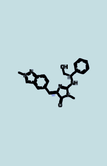 CN1C(=O)/C(=C/c2ccc3nn(C)cc3c2)N=C1N[C@@H](CO)c1ccccc1